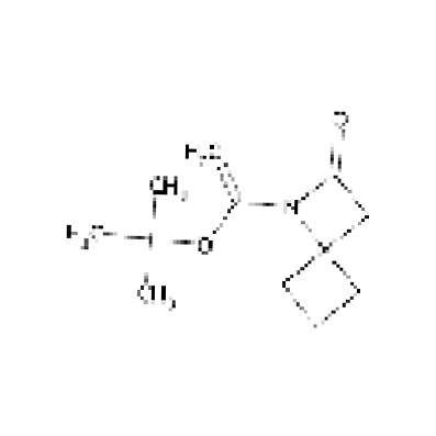 C=C(OC(C)(C)C)N1C(=O)CC12CCC2